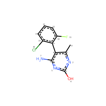 Cc1nc(O)nc(N)c1-c1c(F)cccc1Cl